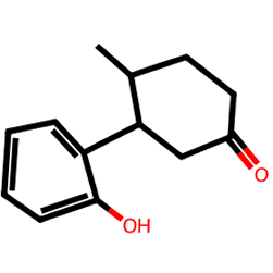 CC1CCC(=O)CC1c1ccccc1O